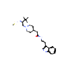 CC(C)(C)C(CN1CCC(CC(=O)NCCc2c[nH]c3ccccc23)CC1)NS(C)(=O)=O